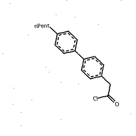 CCCCCc1ccc(-c2ccc(CC(=O)Cl)cc2)cc1